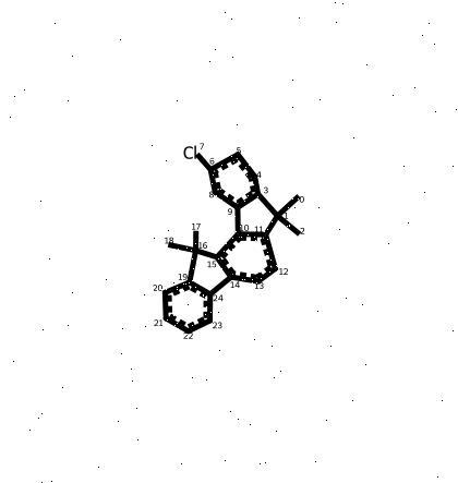 CC1(C)c2ccc(Cl)cc2-c2c1ccc1c2C(C)(C)c2ccccc2-1